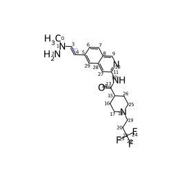 CN(N)/C=C/c1ccc2cnc(NC(=O)C3CCN(CCC(F)(F)F)CC3)cc2c1